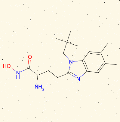 Cc1cc2nc(CCC(N)C(=O)NO)n(CC(C)(C)C)c2cc1C